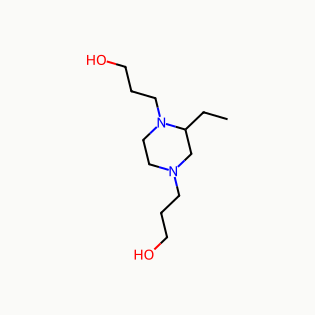 CCC1CN(CCCO)CCN1CCCO